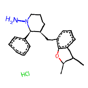 CC1Oc2c(C[C@@H]3CCCN(N)[C@@H]3c3ccccc3)cccc2C1C.Cl